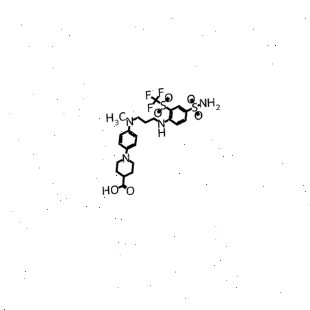 CN(CCCNc1ccc(S(N)(=O)=O)cc1S(=O)(=O)C(F)(F)F)c1ccc(N2CCC(C(=O)O)CC2)cc1